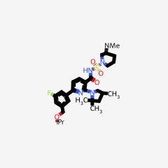 CNC1CCCN(S(=O)(=O)NC(=O)c2ccc(-c3cc(F)cc(COC(C)C)c3)nc2N2CC(C)CC2(C)C)C1